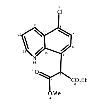 CCOC(=O)C(C(=O)OC)c1ccc(Cl)c2cccnc12